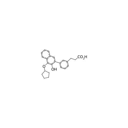 O=C(O)CCc1cccc(-c2cc3ccccc3c(OC3CCCC3)c2O)c1